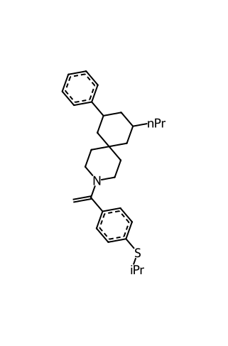 C=C(c1ccc(SC(C)C)cc1)N1CCC2(CC1)CC(CCC)CC(c1ccccc1)C2